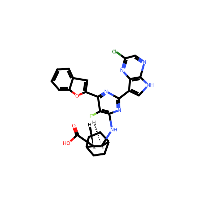 O=C(O)[C@H]1C2CCC(CC2)[C@@H]1Nc1nc(-c2c[nH]c3ncc(Cl)nc23)nc(-c2cc3ccccc3o2)c1F